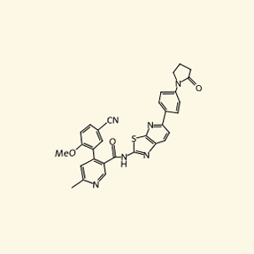 COc1ccc(C#N)cc1-c1cc(C)ncc1C(=O)Nc1nc2ccc(-c3ccc(N4CCCC4=O)cc3)nc2s1